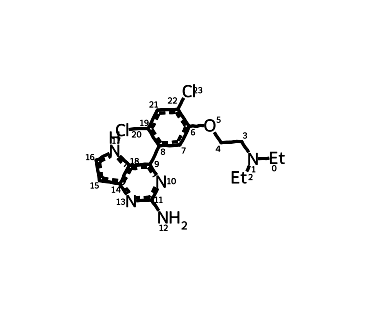 CCN(CC)CCOc1cc(-c2nc(N)nc3cc[nH]c23)c(Cl)cc1Cl